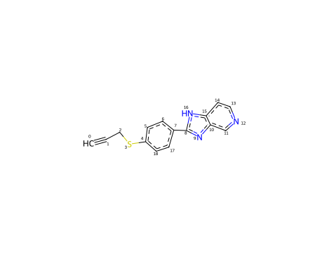 C#CCSc1ccc(-c2nc3cnccc3[nH]2)cc1